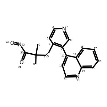 CC(C)(Sc1ccncc1-c1ccnc2ccccc12)C(=O)N=O